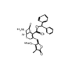 COC1=C(C)C(=O)O/C1=C/C1=C(C(=O)OC(c2ccccc2)c2ccccc2)N2C(=O)[C@@H](N)[C@@H]2SC1